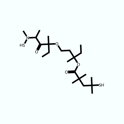 CCC(C)(CCOC(C)(CC)C(=O)C(C)N(C)S)OC(=O)C(C)(C)CC(C)(C)S